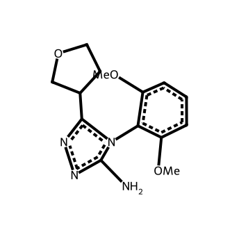 COc1cccc(OC)c1-n1c(N)nnc1C1CCOC1